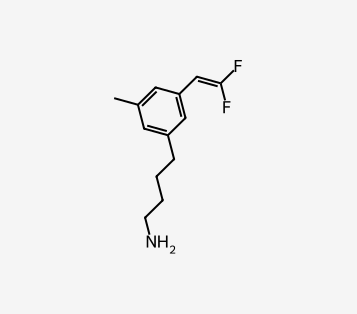 Cc1cc(C=C(F)F)cc(CCCCN)c1